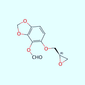 O=COc1c(OC[C@H]2CO2)ccc2c1OCO2